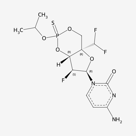 CC(C)OP1(=S)OC[C@@]2(C(F)F)O[C@@H](n3ccc(N)nc3=O)[C@@H](F)[C@@H]2O1